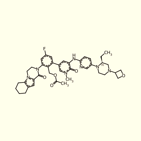 CC[C@H]1CN(C2COC2)CCN1c1ccc(Nc2cc(-c3cc(F)cc(N4CCn5c(cc6c5CCCC6)C4=O)c3COC(C)=O)cn(C)c2=O)nc1